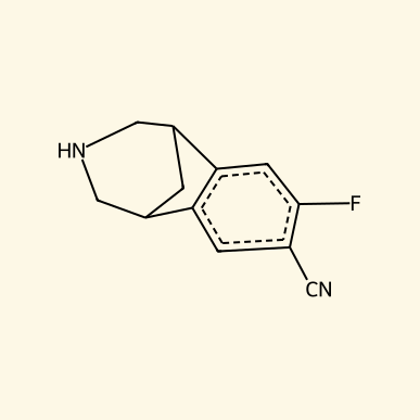 N#Cc1cc2c(cc1F)C1CNCC2C1